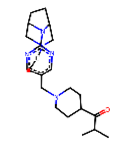 CCN1CC2CCC(C1)N2c1ncc(CN2CCC(C(=O)C(C)C)CC2)cn1